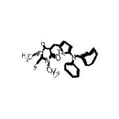 CN1C(=O)C(=Cc2ccc(N(c3ccccc3)c3ccccc3)[te]2)C(=O)N(C)C1=S